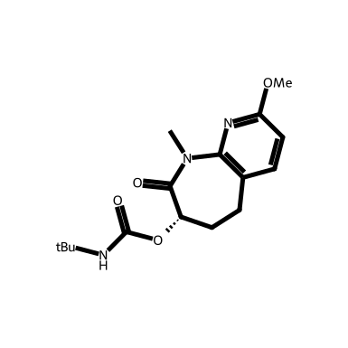 COc1ccc2c(n1)N(C)C(=O)[C@@H](OC(=O)NC(C)(C)C)CC2